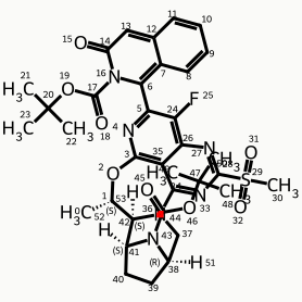 C[C@@H]1Oc2nc(-c3c4ccccc4cc(=O)n3C(=O)OC(C)(C)C)c(F)c3nc(S(C)(=O)=O)nc(c23)N2C[C@H]3CC[C@@H]([C@@H]12)N3C(=O)OC(C)(C)C